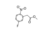 COC(=O)Cc1cc(F)ccc1[N+](=O)[O-]